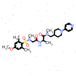 COc1cc(C)c(S(=O)(=O)N(C)CC(=O)NC(C)C(=O)N(C)CC2CCN(c3ccncc3)CC2)c(C)c1